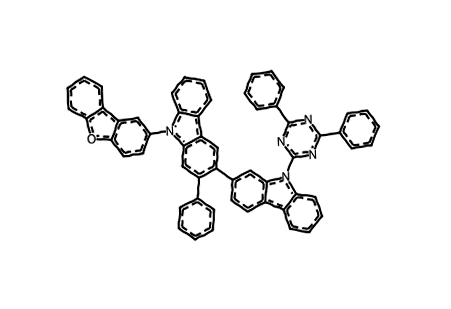 c1ccc(-c2nc(-c3ccccc3)nc(-n3c4ccccc4c4ccc(-c5cc6c7ccccc7n(-c7ccc8oc9ccccc9c8c7)c6cc5-c5ccccc5)cc43)n2)cc1